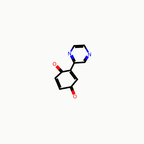 O=C1C=CC(=O)C(c2cnccn2)=C1